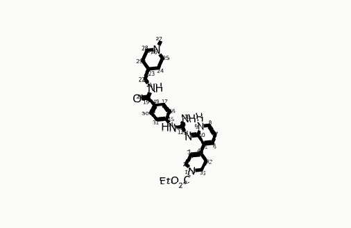 CCOC(=O)N1CC=C(c2ccc[nH]/c2=N\C(=N)Nc2ccc(C(=O)NCC3CCN(C)CC3)cc2)CC1